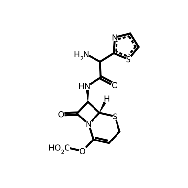 NC(C(=O)N[C@@H]1C(=O)N2C(OC(=O)O)=CCS[C@@H]12)c1nccs1